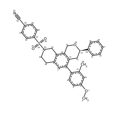 COc1ccc(-c2nc3c(c4c2C[C@H](c2ccccc2)OC4)CN(S(=O)(=O)c2ccc(C#N)cc2)CC3)c(C)c1